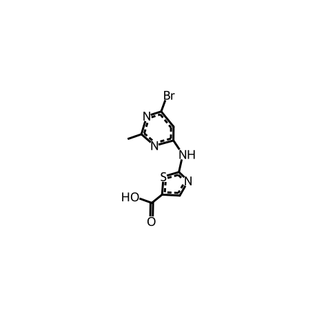 Cc1nc(Br)cc(Nc2ncc(C(=O)O)s2)n1